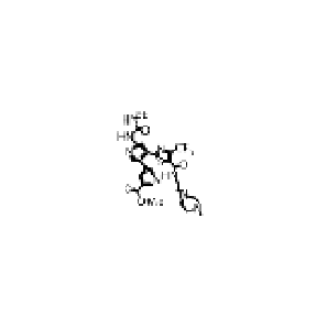 CCNC(=O)Nc1cc(-c2nc(C(F)(F)F)c(C(=O)NCCN3CCN(C)CC3)s2)c(-c2cncc(C(=O)OC)c2)cn1